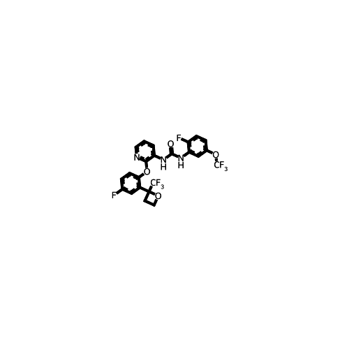 O=C(Nc1cc(OC(F)(F)F)ccc1F)Nc1cccnc1Oc1ccc(F)cc1C1(C(F)(F)F)CCO1